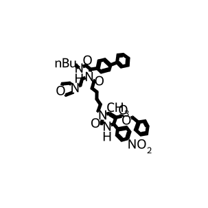 CCCCNC(=O)C(c1ccc(-c2ccccc2)cc1)N(CCN1CCOCC1)C(=O)CCCCCN1C(=O)NC(c2ccc([N+](=O)[O-])cc2)C(C(=O)OCc2ccccc2)=C1C